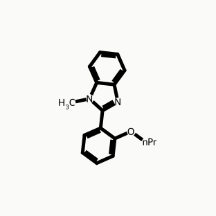 CCCOc1ccccc1-c1nc2ccccc2n1C